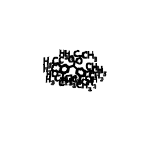 CC(C)OC(=O)C(c1cc(C(C)(C)C)c(O)c(C(C)(C)C)c1)c1cc(C(C)(C)C)c(O)c(C(C)(C)C)c1